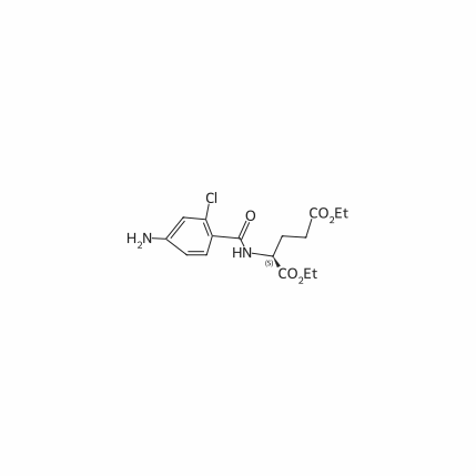 CCOC(=O)CC[C@H](NC(=O)c1ccc(N)cc1Cl)C(=O)OCC